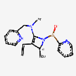 C=CC1=C(N(Cc2ccccn2)C(C)=O)N([S+]([O-])c2ccccn2)[C@H]1CCCC